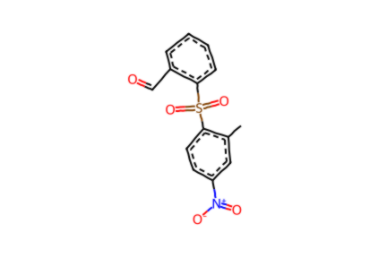 Cc1cc([N+](=O)[O-])ccc1S(=O)(=O)c1ccccc1C=O